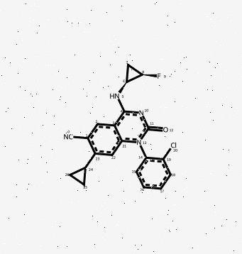 N#Cc1cc2c(N[C@H]3C[C@H]3F)nc(=O)n(-c3ccccc3Cl)c2cc1C1CC1